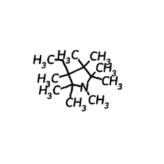 CCC1(C)C(C)(C)N(C)C(C)(C)C1(C)C